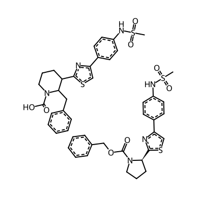 CS(=O)(=O)Nc1ccc(-c2csc(C3CCCN(C(=O)O)C3Cc3ccccc3)n2)cc1.CS(=O)(=O)Nc1ccc(-c2csc([C@H]3CCCN3C(=O)OCc3ccccc3)n2)cc1